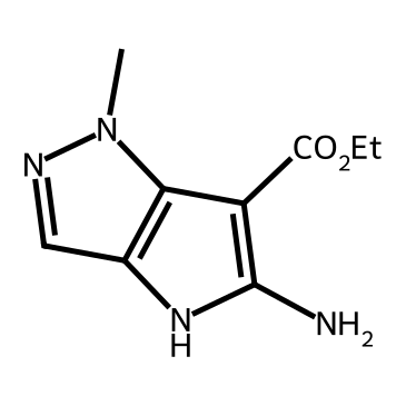 CCOC(=O)c1c(N)[nH]c2cnn(C)c12